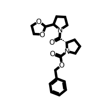 O=C([C@@H]1CCCN1C(=O)OCc1ccccc1)N1CCCC1C1OCCO1